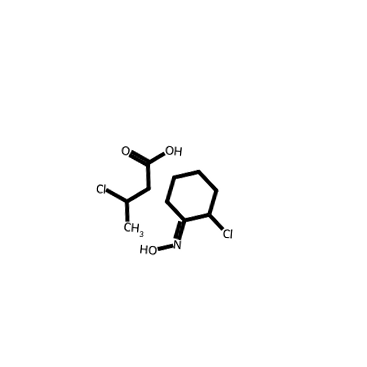 CC(Cl)CC(=O)O.ON=C1CCCCC1Cl